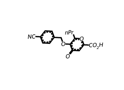 CCCc1oc(C(=O)O)cc(=O)c1OCc1ccc(C#N)cc1